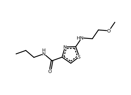 CCCNC(=O)c1csc(NCCOC)n1